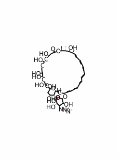 C[C@@H]1[C@H](O)[C@@H](C)/C=C/C=C/C=C/C=C/C=C/C=C/C=C/[C@H](OC2O[C@H](C)[C@@H](O)[C@H](N=[N+]=[N-])C2O)C[C@@H]2OC(O)(C[C@@H](O)C[C@@H](O)C(O)CCC(O)C[C@@H](O)CC(=O)O[C@H]1C)C[C@H](O)[C@H]2C(=O)O